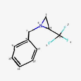 FC(F)(F)C1CN1Cc1ccccc1